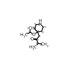 CC(C)OC1(CC(=O)C(C)C)CCNCC1